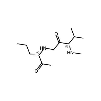 CCC[C@H](NCC(=O)[C@@H](NC)C(C)C)C(C)=O